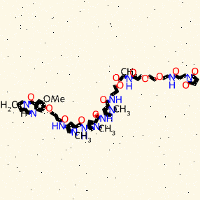 C=C1C[C@@H]2C=Nc3cc(OCCCC(=O)Nc4cc(C(=O)Nc5cc(C(=O)Nc6cc(C(=O)NCCCOC(=O)C(C)NC(=O)CCOCCOCCNC(=O)CCN7C(=O)C=CC7=O)n(C)c6)n(C)c5)n(C)c4)c(OC)cc3C(=O)N2C1